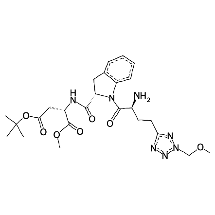 COCn1nnc(CC[C@H](N)C(=O)N2c3ccccc3C[C@H]2C(=O)N[C@@H](CC(=O)OC(C)(C)C)C(=O)OC)n1